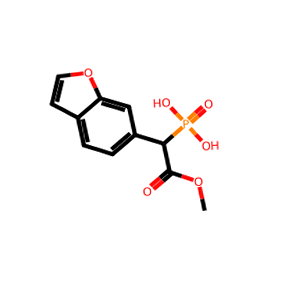 COC(=O)C(c1ccc2ccoc2c1)P(=O)(O)O